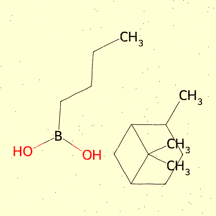 CC1CCC2CC1C2(C)C.CCCCB(O)O